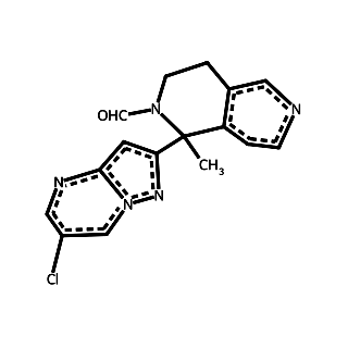 CC1(c2cc3ncc(Cl)cn3n2)c2ccncc2CCN1C=O